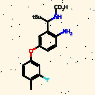 Cc1ccc(Oc2ccc(N)c(C(NC(=O)O)C(C)(C)C)c2)cc1F